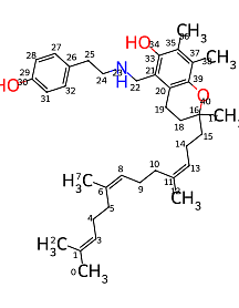 CC(C)=CCCC(C)=CCCC(C)=CCCC1(C)CCc2c(CNCCc3ccc(O)cc3)c(O)c(C)c(C)c2O1